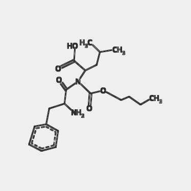 CCCCOC(=O)N(C(=O)C(N)Cc1ccccc1)C(CC(C)C)C(=O)O